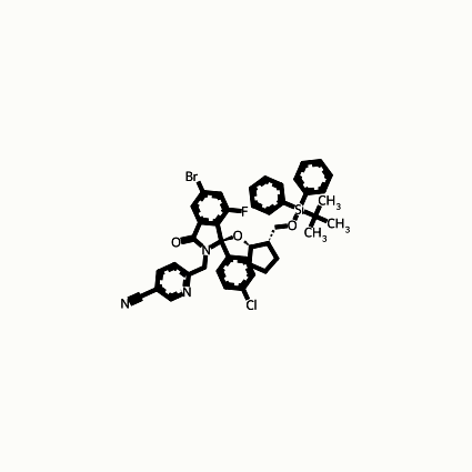 CC(C)(C)[Si](OC[C@@H]1CCC[C@@H]1O[C@]1(c2ccc(Cl)cc2)c2c(F)cc(Br)cc2C(=O)N1Cc1ccc(C#N)cn1)(c1ccccc1)c1ccccc1